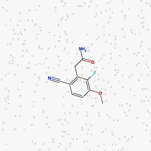 COc1ccc(C#N)c(CC(N)=O)c1F